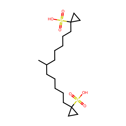 CC(CCCCCC1(S(=O)(=O)O)CC1)CCCCCC1(S(=O)(=O)O)CC1